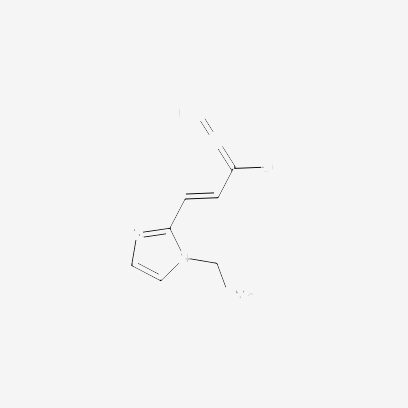 C=C=C(C=Cc1nccn1COC)CC